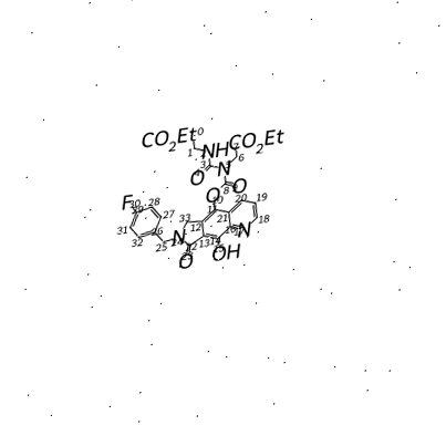 CCOC(=O)CNC(=O)N(CC(=O)OCC)C(=O)Oc1c2c(c(O)c3ncccc13)C(=O)N(Cc1ccc(F)cc1)C2